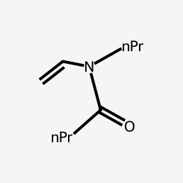 C=CN(CCC)C(=O)CCC